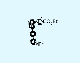 CCOC(=O)N1CCN(c2ccnn3cc(-c4ccc([C@@H]5CCCN(C(C)C)C5)cc4)cc23)C[C@H]1C